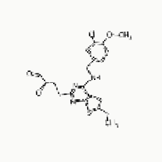 CCc1cc2c(NCc3ccc(OC)c(Cl)c3)nc(CCC(=O)C=O)nc2s1